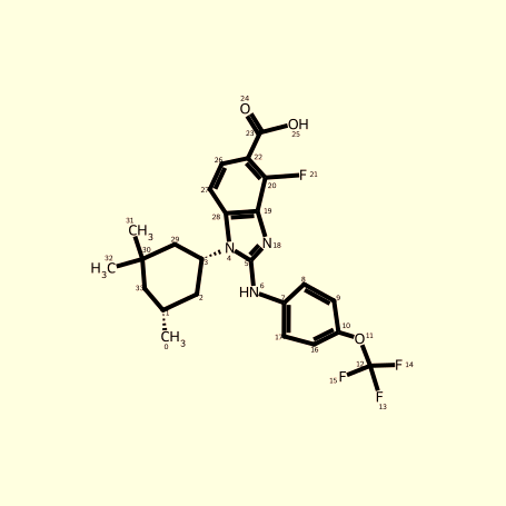 C[C@H]1C[C@@H](n2c(Nc3ccc(OC(F)(F)F)cc3)nc3c(F)c(C(=O)O)ccc32)CC(C)(C)C1